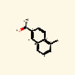 CCC(=O)c1ccc2c(C)cccc2c1